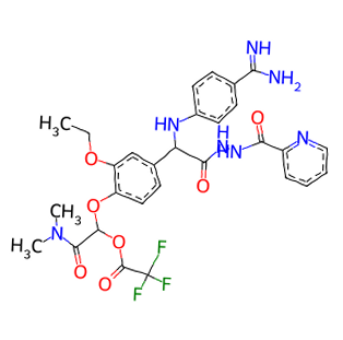 CCOc1cc(C(Nc2ccc(C(=N)N)cc2)C(=O)NNC(=O)c2ccccn2)ccc1OC(OC(=O)C(F)(F)F)C(=O)N(C)C